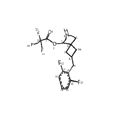 O=C(OC1NCC12CC(Cc1c(F)cccc1F)C2)C(F)(F)F